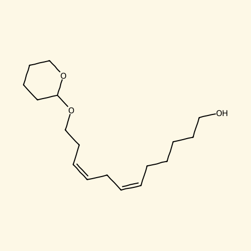 OCCCCC/C=C\C/C=C\CCOC1CCCCO1